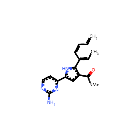 C=C/C=C\C(=C/C)c1[nH]c(-c2ccnc(N)n2)cc1C(=O)NC